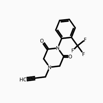 C#CCN1CC(=O)N(c2ccccc2C(F)(F)F)C(=O)C1